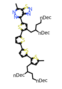 CCCCCCCCCCCCC(CCCCCCCCCC)Cc1cc(C)sc1-c1ccc(-c2ccc(-c3sc(-c4nnc(C)c5snnc45)cc3CC(CCCCCCCCCC)CCCCCCCCCCCC)s2)s1